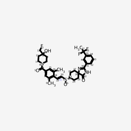 Cc1cc(C(=O)N2CCC(O)(CF)CC2)cc(C)c1/C=C/[S+]([O-])N1CCC2(CC1)N=C(c1cccc(C(C)(F)F)c1)NC2=O